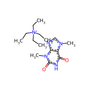 CC[N+](CC)(CC)CC.Cn1cnc2c1c(=O)[nH]c(=O)n2C